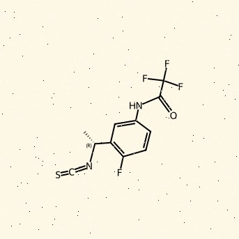 C[C@@H](N=C=S)c1cc(NC(=O)C(F)(F)F)ccc1F